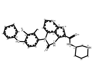 Cc1c(N2C(=O)Nc3c(C(=O)N[C@@H]4CCCNC4)sc4nccc2c34)ccc(Oc2ccccc2)c1F